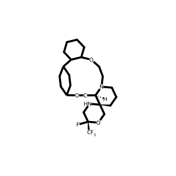 FC(F)(F)[C@@]1(F)CN[C@@]2(CCCN3CCOC4CCCCC4C4CCC(CC4)OC[C@@H]32)CO1